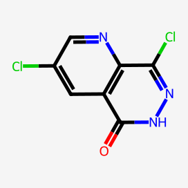 O=c1[nH]nc(Cl)c2ncc(Cl)cc12